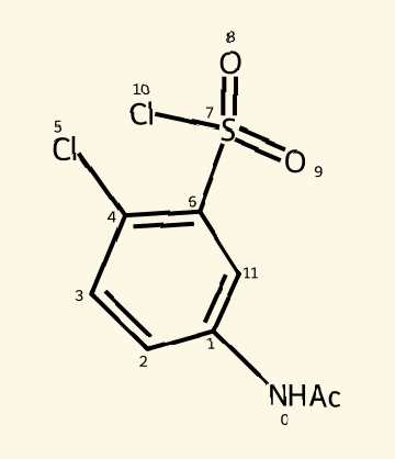 CC(=O)Nc1ccc(Cl)c(S(=O)(=O)Cl)c1